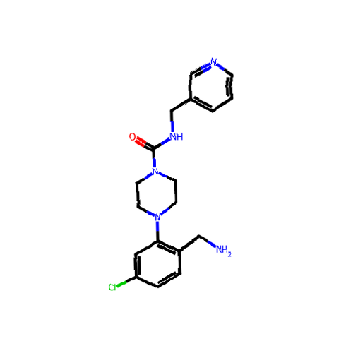 NCc1ccc(Cl)cc1N1CCN(C(=O)NCc2cccnc2)CC1